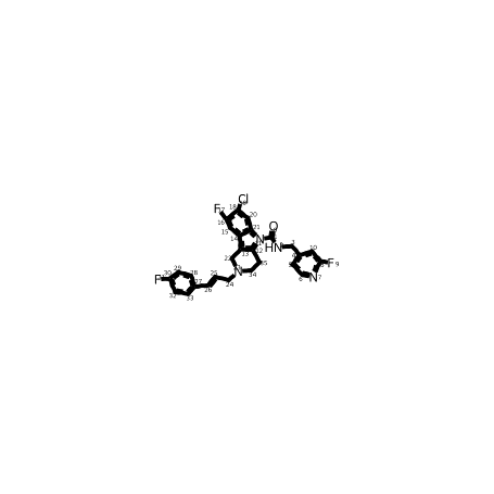 O=C(NCc1ccnc(F)c1)n1c2c(c3cc(F)c(Cl)cc31)CN(CC=Cc1ccc(F)cc1)CC2